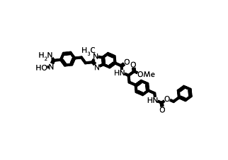 COC(=O)C(Cc1ccc(CNC(=O)OCc2ccccc2)cc1)NC(=O)c1ccc2c(c1)nc(CCc1ccc(C(N)=NO)cc1)n2C